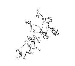 CC(NC(=O)[C@@H]1C[C@@H](O)CN1C(=O)[C@@H](n1cc(C2CC2)nn1)C(C)(C)C)C1=CCN(C)CC1